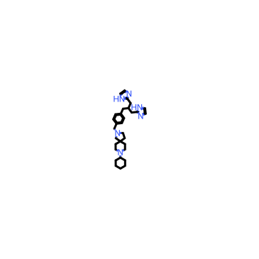 c1c[nH]c(CC(Cc2ccc(CN3CCC4(CCN(C5CCCCC5)CC4)C3)cc2)Cc2ncc[nH]2)n1